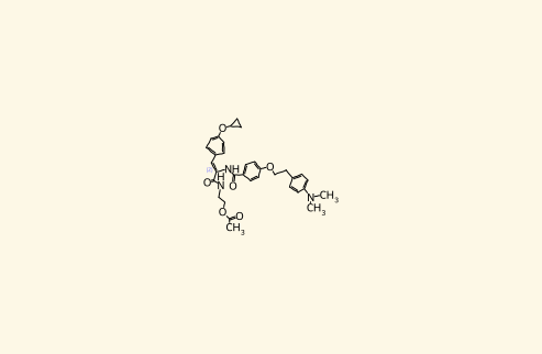 CC(=O)OCCNC(=O)/C(=C/c1ccc(OC2CC2)cc1)NC(=O)c1ccc(OCCc2ccc(N(C)C)cc2)cc1